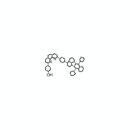 Oc1ccc(-c2ccc3ccc4ccc(-c5ccc(-c6ccc7c8c(cccc68)-c6c-7c(-c7ccccc7)c7ccccc7c6-c6ccccc6)cc5)nc4c3n2)cc1